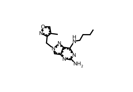 CCCCNc1nc(N)nc2cn(Cc3nocc3C)nc12